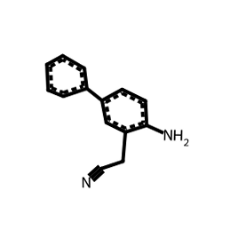 N#CCc1cc(-c2ccccc2)ccc1N